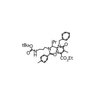 CCOC(=O)c1nc(C(C(C)C)N(CCCNC(=O)OC(C)(C)C)C(=O)c2ccc(C)cc2)n(Cc2ccccc2)c(=O)c1C